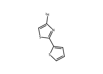 [2H]c1csc(-c2cccs2)n1